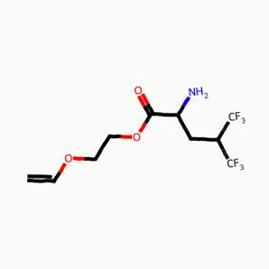 C=COCCOC(=O)C(N)CC(C(F)(F)F)C(F)(F)F